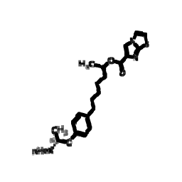 CCCCCC[C@H](C)Oc1ccc(CCCCCC(C)OC(=O)c2cn3ccsc3n2)cc1